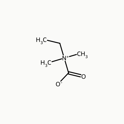 CC[N+](C)(C)C(=O)[O-]